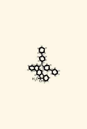 CC1(C)c2ccccc2-c2cc3c(N(c4ccc(-c5ccccc5)cc4)c4ccc(-c5ccccc5)cc4)cc4ccccc4c3cc21